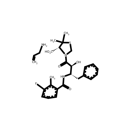 C=CCN.Cc1c(F)cccc1C(=O)N[C@@H](Cc1ccccc1)[C@H](O)C(=O)N1CSC(C)(C)[C@H]1C(=O)O